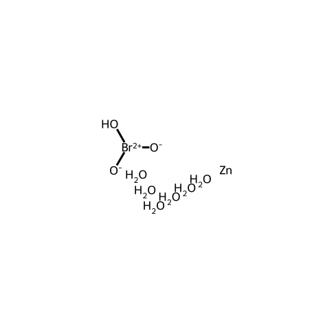 O.O.O.O.O.O.[O-][Br+2]([O-])O.[Zn]